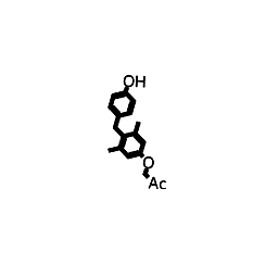 CC(=O)COc1cc(C)c(Cc2ccc(O)cc2)c(C)c1